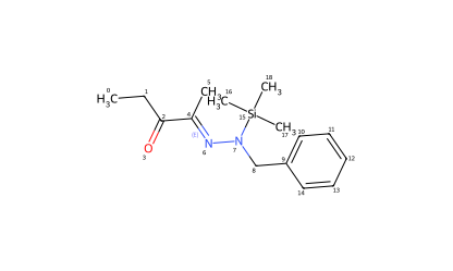 CCC(=O)/C(C)=N/N(Cc1ccccc1)[Si](C)(C)C